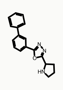 c1ccc(-c2cccc(-c3nnc(C4CCCN4)o3)c2)cc1